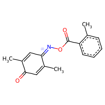 CC1=C/C(=N/OC(=O)c2ccccc2C)C(C)=CC1=O